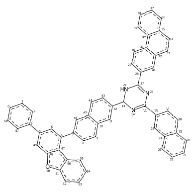 c1ccc(-c2cc(-c3ccc4cc(C5N=C(c6ccc7ccccc7c6)N=C(c6ccc7c(ccc8ccccc87)c6)N5)ccc4c3)c3c(c2)oc2ccccc23)cc1